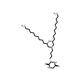 CCCCCCCCCCCCN(CCCC[C@@H]1NC(=O)CNC1=O)C[C@H](O)CCCCCCCCCC